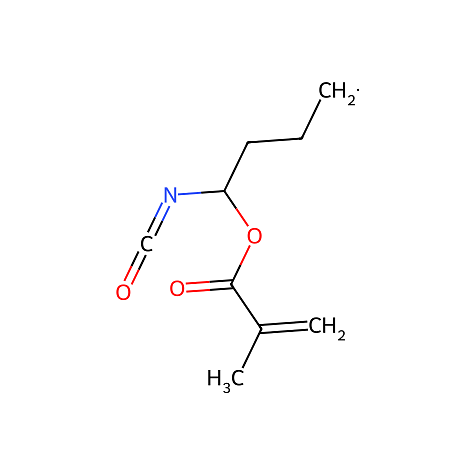 [CH2]CCC(N=C=O)OC(=O)C(=C)C